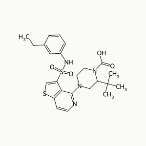 CCc1cccc(NS(=O)(=O)c2csc3ccnc(N4CCN(C(=O)O)C(C(C)(C)C)C4)c23)c1